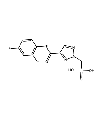 O=C(Nc1ccc(F)cc1F)c1cnn(CP(=O)(O)O)n1